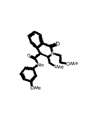 COCCN1C(=O)c2ccccc2C(C(=O)Nc2cccc(OC)c2)C1CSC